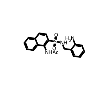 CC(=O)Nc1c(S(=O)(=O)NCc2ccccc2N)ccc2ccccc12